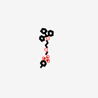 Cc1ccc(S(=O)(=O)OCCOCCCCOC(c2ccccc2)(c2ccccc2)c2ccccc2)cc1